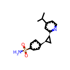 CC(C)c1ccnc([C@@H]2C[C@H]2c2ccc(S(N)(=O)=O)cc2)c1